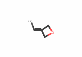 CC(C)C=C1COC1